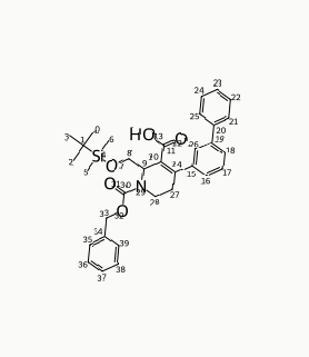 CC(C)(C)[Si](C)(C)OCC1C(C(=O)O)=C(c2cccc(-c3ccccc3)c2)CCN1C(=O)OCc1ccccc1